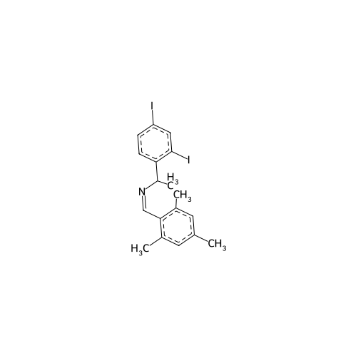 Cc1cc(C)c(/C=N\C(C)c2ccc(I)cc2I)c(C)c1